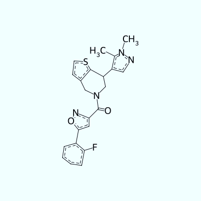 Cc1c(C2CN(C(=O)c3cc(-c4ccccc4F)on3)Cc3ccsc32)cnn1C